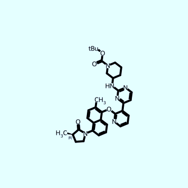 Cc1ccc2c(N3CC[C@@H](C)C3=O)cccc2c1Oc1ncccc1-c1ccnc(NC2CCCN(C(=O)OC(C)(C)C)C2)n1